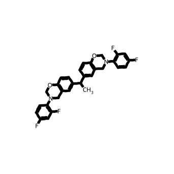 CC(c1ccc2c(c1)CN(c1ccc(F)cc1F)CO2)c1ccc2c(c1)CN(c1ccc(F)cc1F)CO2